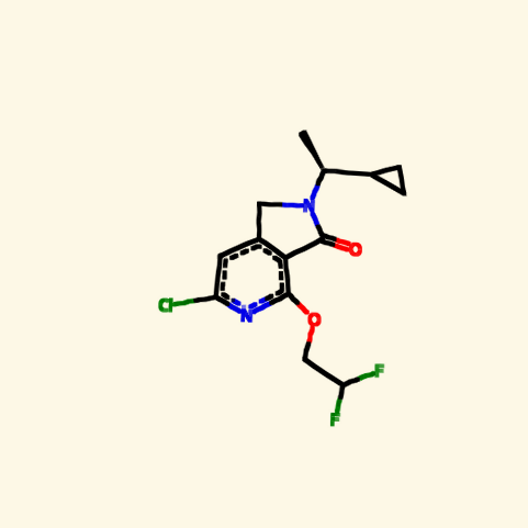 C[C@@H](C1CC1)N1Cc2cc(Cl)nc(OCC(F)F)c2C1=O